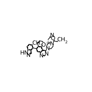 C=CC(=O)N1CCN(c2ncnc3cc(-c4c(C)ccc5[nH]ncc45)c4c(c23)OCC=C4)C[C@@H]1CC#N